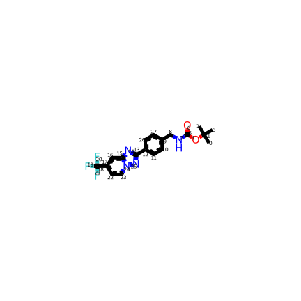 CC(C)(C)OC(=O)NCc1ccc(-c2nc3cc(C(F)(F)F)ccn3n2)cc1